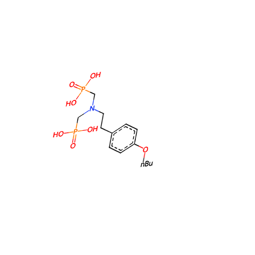 CCCCOc1ccc(CCN(CP(=O)(O)O)CP(=O)(O)O)cc1